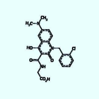 CN(C)c1ccc2c(c1)c(O)c(C(=O)NCC(=O)O)c(=O)n2Cc1ccccc1Cl